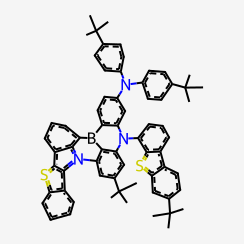 CC(C)(C)c1ccc(N(c2ccc(C(C)(C)C)cc2)c2ccc3c(c2)N(c2cccc4c2sc2cc(C(C)(C)C)ccc24)c2cc(C(C)(C)C)cc4c2B3c2cccc3c5sc6ccccc6c5n-4c23)cc1